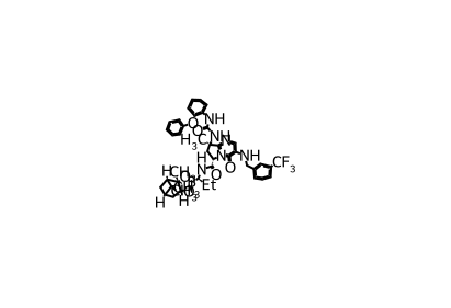 CC[C@H](NC(=O)[C@@H]1C[C@@](C)(NC(=O)Nc2ccccc2Oc2ccccc2)c2ncc(NCc3cccc(C(F)(F)F)c3)c(=O)n21)B1O[C@@H]2C[C@@H]3C[C@@H](C3(C)C)[C@]2(C)O1